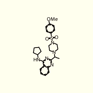 COc1ccc(S(=O)(=O)N2CCN(C(C)c3nc(NC4CCCC4)c4ccccc4n3)CC2)cc1